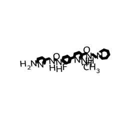 CCNc1nc(-c2ccc(NC(=O)NCc3ccc(N)nc3)c(F)c2)ccc1C(=O)NCCN1CCCCCC1